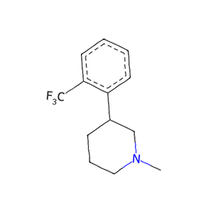 CN1CCCC(c2ccccc2C(F)(F)F)C1